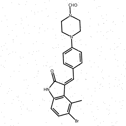 Cc1c(Br)ccc2c1C(=Cc1ccc(N3CCN(C=O)CC3)cc1)C(=O)N2